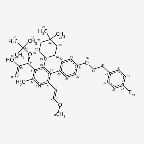 CO/C=C/c1nc(C)c([C@H](OC(C)(C)C)C(=O)O)c(N2CCC(C)(C)CC2)c1-c1ccc(OCCc2ccc(F)cc2)cc1